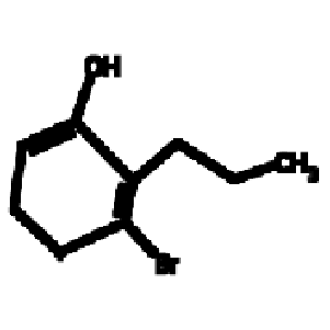 CCCC1=C(Br)[CH]CC=C1O